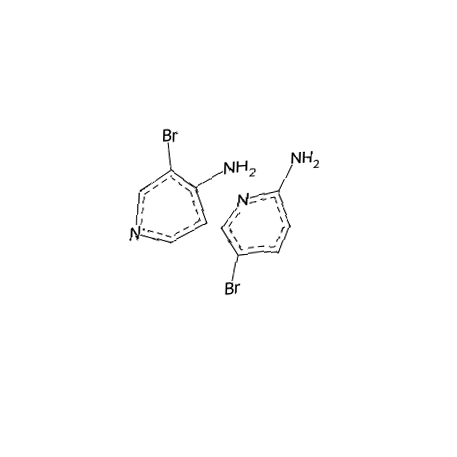 Nc1ccc(Br)cn1.Nc1ccncc1Br